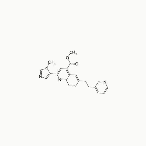 COC(=O)c1cc(-c2cncn2C)nc2ccc(CCc3cccnc3)cc12